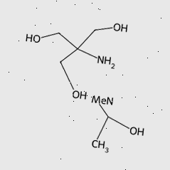 CNC(C)O.NC(CO)(CO)CO